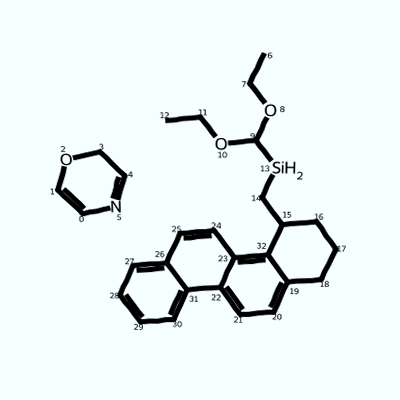 C1=COCC=N1.CCOC(OCC)[SiH2]CC1CCCc2ccc3c(ccc4ccccc43)c21